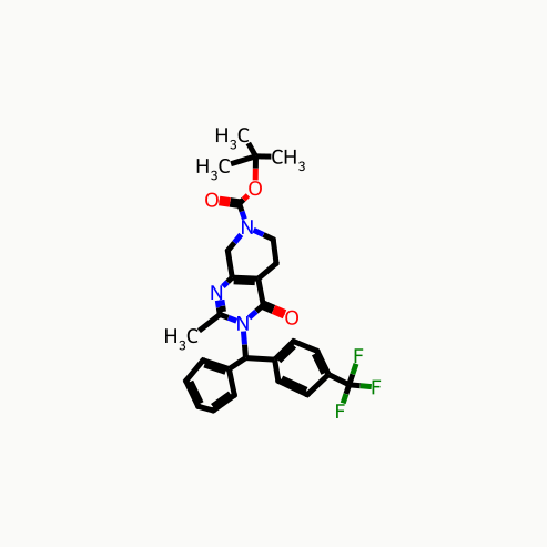 Cc1nc2c(c(=O)n1C(c1ccccc1)c1ccc(C(F)(F)F)cc1)CCN(C(=O)OC(C)(C)C)C2